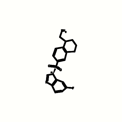 NCC1CCCc2cc(S(=O)(=O)[C@H]3C=Nc4ccc(F)cc43)ccc21